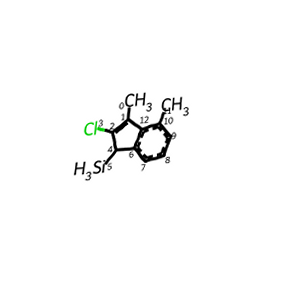 CC1=C(Cl)C([SiH3])c2cccc(C)c21